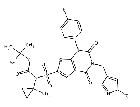 Cn1cc(Cn2c(=O)c3cc(S(=O)(=O)N(C(=O)OC(C)(C)C)C4(C)CC4)sc3n(-c3ccc(F)cc3)c2=O)cn1